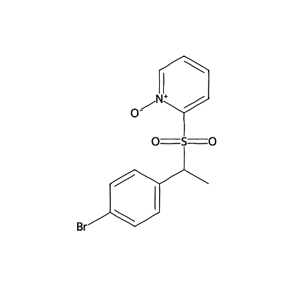 CC(c1ccc(Br)cc1)S(=O)(=O)c1cccc[n+]1[O-]